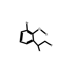 [CH2]C(CF)c1cccc(Br)c1OCC